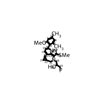 COc1cc(C)cc(C)c1-c1cccc2c(N(CC(O)CF)CC3CC3)c(SC)nn12